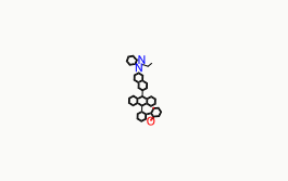 CCc1nc2ccccc2n1-c1ccc2cc(-c3c4ccccc4c(-c4cccc5oc6ccccc6c45)c4ccccc34)ccc2c1